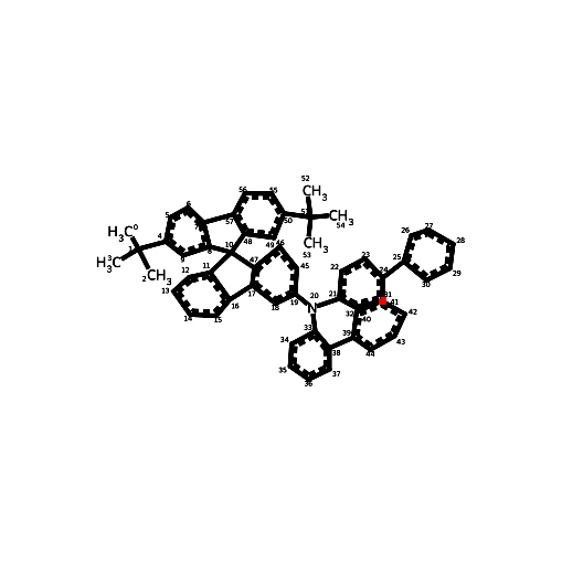 CC(C)(C)c1ccc2c(c1)C1(c3ccccc3-c3cc(N(c4ccc(-c5ccccc5)cc4)c4ccccc4-c4ccccc4)ccc31)c1cc(C(C)(C)C)ccc1-2